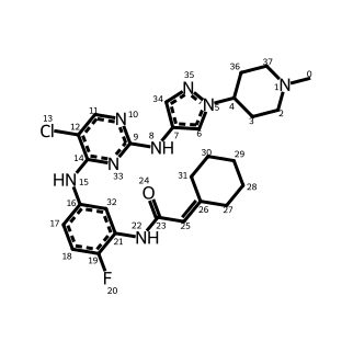 CN1CCC(n2cc(Nc3ncc(Cl)c(Nc4ccc(F)c(NC(=O)C=C5CCCCC5)c4)n3)cn2)CC1